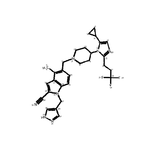 Cc1c(CN2CCC(n3c(C4CC4)cnc3CCC(F)(F)F)CC2)ccc2c1cc(C#N)n2Cc1cn[nH]c1